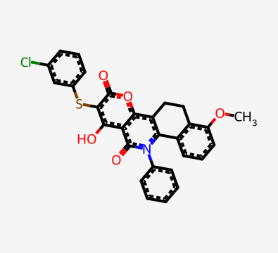 COc1cccc2c1CCc1c-2n(-c2ccccc2)c(=O)c2c(O)c(Sc3cccc(Cl)c3)c(=O)oc12